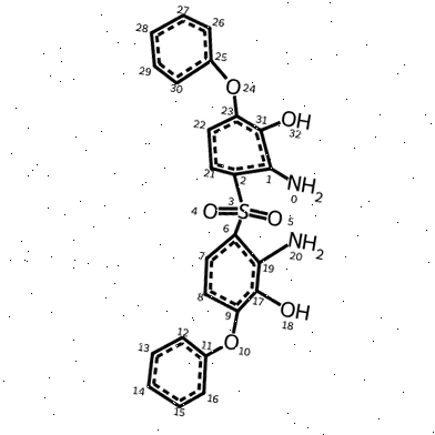 Nc1c(S(=O)(=O)c2ccc(Oc3ccccc3)c(O)c2N)ccc(Oc2ccccc2)c1O